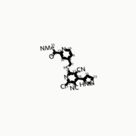 [C-]#[N+]c1c(Cl)nc(SCc2ccnc(C(=O)NC)c2)c(C#N)c1-c1ccn[nH]1